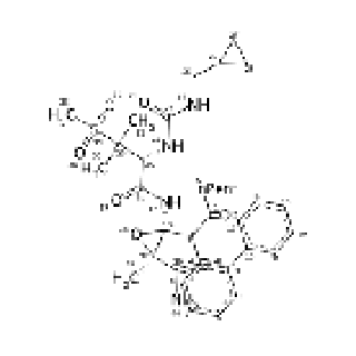 CCCCCC(=O)[C](c1ccccc1-c1ccccc1)[C@]1(NC(=O)[C@@H](NC(=O)NCC2CC2)C(C)(C)S(C)(=O)=O)O[C@]1(C)C(N)=O